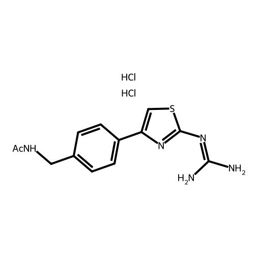 CC(=O)NCc1ccc(-c2csc(N=C(N)N)n2)cc1.Cl.Cl